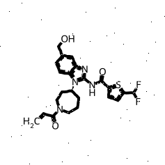 C=CC(=O)N1CCC[C@@H](n2c(NC(=O)c3ccc(C(F)F)s3)nc3cc(CO)ccc32)CC1